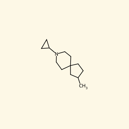 CC1CCC2(CCN(C3CC3)CC2)C1